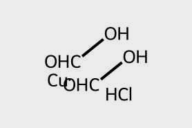 Cl.O=CO.O=CO.[Cu]